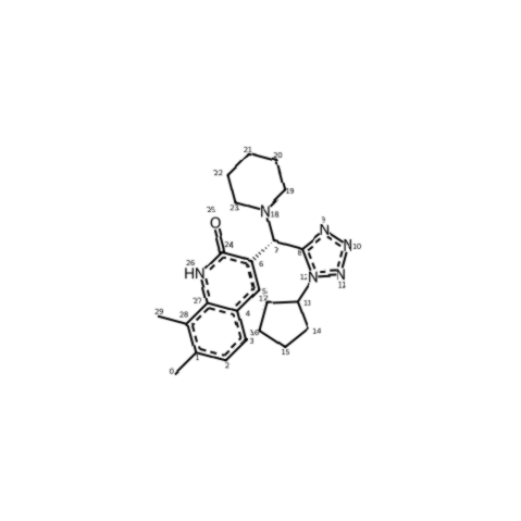 Cc1ccc2cc([C@@H](c3nnnn3C3CCCC3)N3CCCCC3)c(=O)[nH]c2c1C